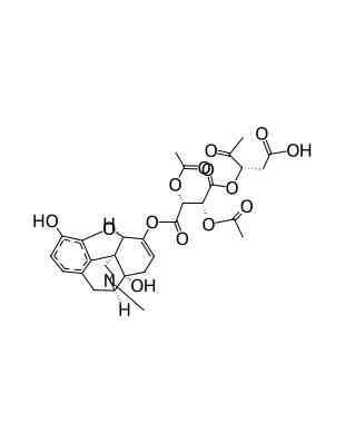 CC(=O)O[C@@H](C(=O)OC1=CC[C@@]2(O)[C@H]3Cc4ccc(O)c5c4[C@@]2(CCN3C)[C@H]1O5)[C@@H](OC(C)=O)C(=O)O[C@@H](CC(=O)O)C(C)=O